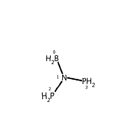 BN(P)P